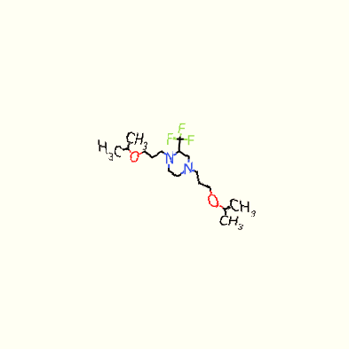 CC(C)OCCCN1CCN(CCCOC(C)C)C(C(F)(F)F)C1